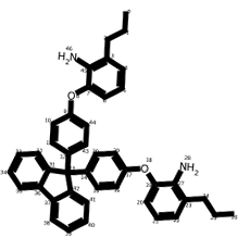 CCCc1cccc(Oc2ccc(C3(c4ccc(Oc5cccc(CCC)c5N)cc4)c4ccccc4-c4ccccc43)cc2)c1N